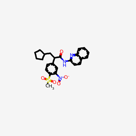 CS(=O)(=O)c1ccc(C(CC2CCCC2)C(=O)Nc2ccc3ccccc3n2)cc1[N+](=O)[O-]